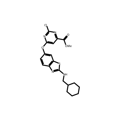 COC(=O)c1cc(Oc2ccc3nc(NCC4CCCCC4)sc3c2)nc(Cl)n1